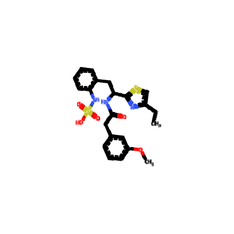 CCc1csc(C(Cc2ccccc2NS(=O)(=O)O)NC(=O)Cc2cccc(OC)c2)n1